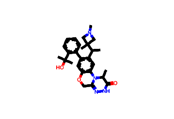 CC1C(=O)NN=C2COc3cc(-c4ccccc4C(C)(C)O)c(C(C)C4(C)CN(C)C4)cc3N21